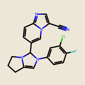 N#Cc1cnc2ccc(C3N4CCCC4=CN3c3ccc(F)c(Cl)c3)cn12